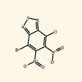 O=[N+]([O-])c1c([N+](=O)[O-])c(Br)c2nsnc2c1Cl